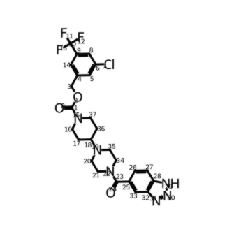 O=C(OCc1cc(Cl)cc(C(F)(F)F)c1)N1CCC(N2CCN(C(=O)c3ccc4[nH]nnc4c3)CC2)CC1